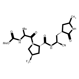 COC(=O)NC(C(=O)N1C[C@H](C(F)(F)F)C[C@H]1C(=O)N[C@H](C#N)C[C@@H]1CC(C)NC1=O)C(C)(C)C